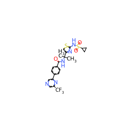 CC(C)(NC(=O)c1ccc(-c2cncc(C(F)(F)F)n2)cc1)c1csc(NS(=O)(=O)C2CC2)n1